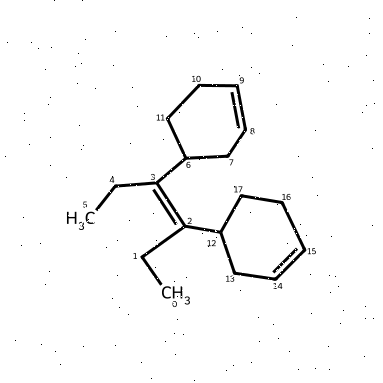 CCC(=C(CC)C1CC=CCC1)C1CC=CCC1